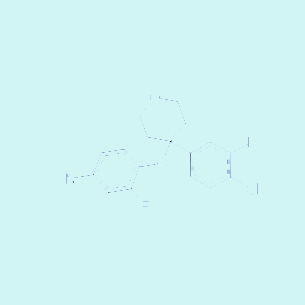 O=[N+]([O-])c1ccc(OC2(c3ccc(Cl)c(F)c3)CCOCC2)c(F)c1